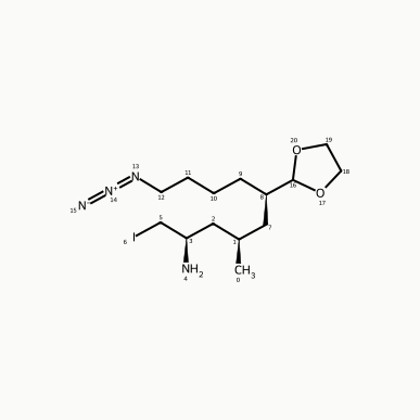 C[C@@H](C[C@@H](N)CI)C[C@@H](CCCCN=[N+]=[N-])C1OCCO1